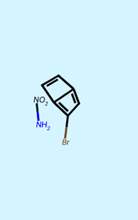 Brc1cc2ccc1-2.N[N+](=O)[O-]